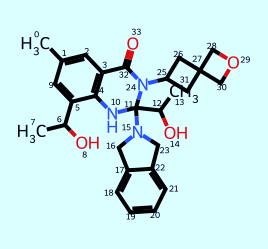 Cc1cc2c(c(C(C)O)c1)NC(C(C)O)(N1Cc3ccccc3C1)N(C1CC3(COC3)C1)C2=O